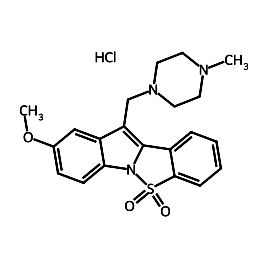 COc1ccc2c(c1)c(CN1CCN(C)CC1)c1n2S(=O)(=O)c2ccccc2-1.Cl